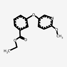 CCOC(=O)c1cccc(Oc2ccc(OC)nc2)c1